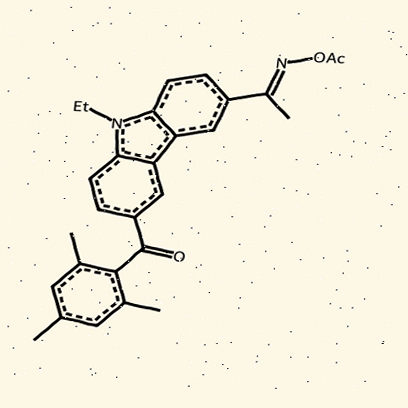 CCn1c2ccc(C(=O)c3c(C)cc(C)cc3C)cc2c2cc(/C(C)=N/OC(C)=O)ccc21